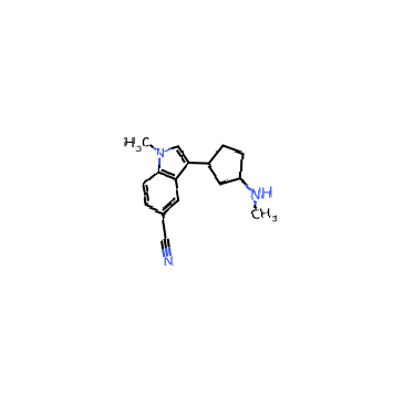 CNC1CCC(c2cn(C)c3ccc(C#N)cc23)C1